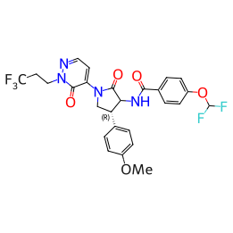 COc1ccc([C@@H]2CN(c3ccnn(CCC(F)(F)F)c3=O)C(=O)C2NC(=O)c2ccc(OC(F)F)cc2)cc1